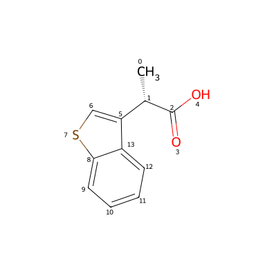 C[C@H](C(=O)O)c1csc2ccccc12